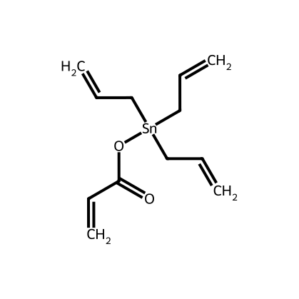 C=C[CH2][Sn]([CH2]C=C)([CH2]C=C)[O]C(=O)C=C